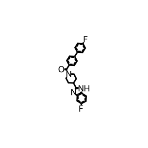 O=C(c1ccc(-c2ccc(F)cc2)cc1)N1CCC(c2nc3cc(F)ccc3[nH]2)CC1